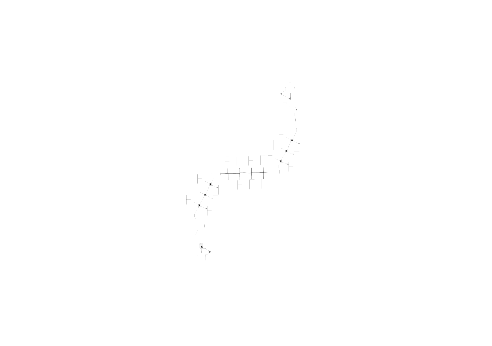 FC(F)(COC[C@@H]1CO1)C(F)(F)C(F)(F)OC(F)(F)C(F)(F)C(F)(F)C(F)(F)OC(F)(F)C(F)(F)C(F)(F)COC[C@H]1CO1